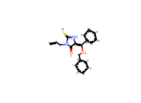 C=CCN1C(=O)C(=C(OCc2ccccc2)c2ccccc2)NC1=S